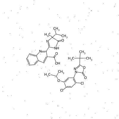 CC(C)C1(C)N=C(c2nc3ccccc3cc2C(=O)O)NC1=O.CC(C)Oc1cc(-n2nc(C(C)(C)C)oc2=O)c(Cl)cc1Cl